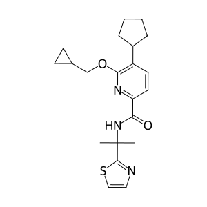 CC(C)(NC(=O)c1ccc(C2CCCC2)c(OCC2CC2)n1)c1nccs1